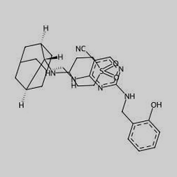 N#Cc1cnc(NCc2ccccc2O)nc1NC[C@@]12CC3C[C@H](C1)[C@@H](NC1CCS(=O)(=O)CC1)[C@@H](C3)C2